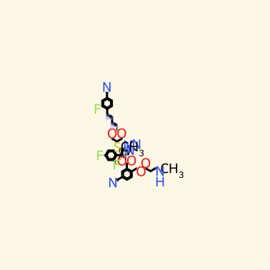 CNCCC(=O)OCc1ccc(C#N)cc1C(=O)O[C@@](Cn1cncn1)(c1ccc(F)cc1F)[C@@H](C)S[C@H]1CO[C@H](/C=C/C=C/c2ccc(C#N)cc2F)OC1